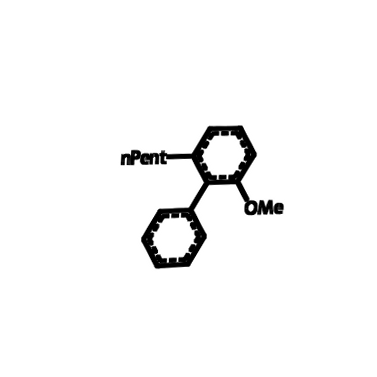 CCCCCc1cccc(OC)c1-c1ccccc1